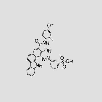 COC1=CC(C)C(NC(=O)c2cc3ccc4c5ccccc5[nH]c4c3c(N=Nc3cccc(S(=O)(=O)O)c3)c2O)C=C1